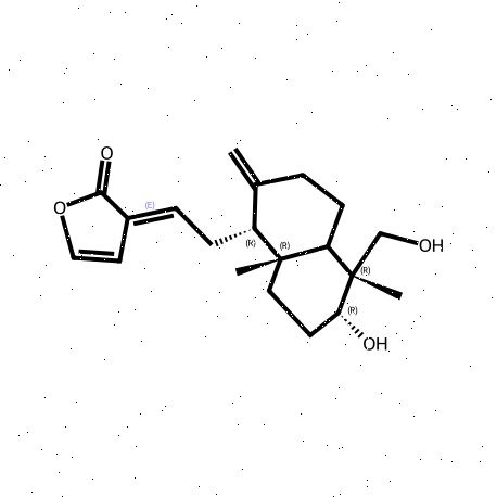 C=C1CCC2[C@](C)(CO)[C@H](O)CC[C@]2(C)[C@@H]1C/C=C1\C=COC1=O